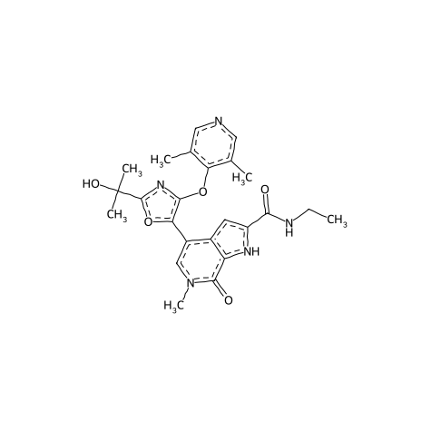 CCNC(=O)c1cc2c(-c3oc(C(C)(C)O)nc3Oc3c(C)cncc3C)cn(C)c(=O)c2[nH]1